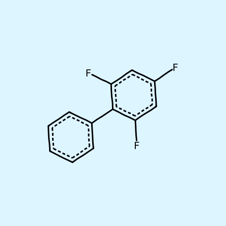 Fc1cc(F)c(-c2ccccc2)c(F)c1